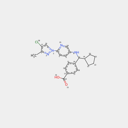 Cc1nn(-c2ccc(NC(c3ccc(C(=O)O)cc3)C3CCCC3)cn2)cc1Cl